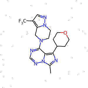 Cc1nc(C2CCOCC2)c2c(N3CCn4ncc(C(F)(F)F)c4C3)ncnn12